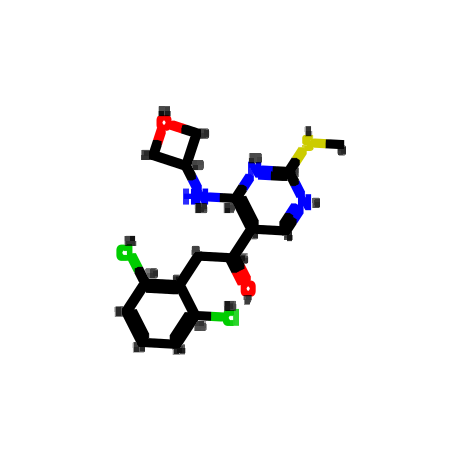 CSc1ncc(C(=O)Cc2c(Cl)cccc2Cl)c(NC2COC2)n1